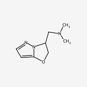 CN(C)CC1COc2ccnn21